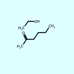 CCCCC(C)=O.CCO